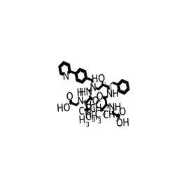 CC(C)(C)[C@H](NCC(=O)O)C(=O)N[C@@H](Cc1ccccc1)[C@@H](O)CN(Cc1ccc(-c2ccccn2)cc1)NC(=O)[C@@H](NCC(=O)O)C(C)(C)C